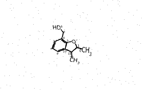 CC1Oc2c(CO)cccc2C1C